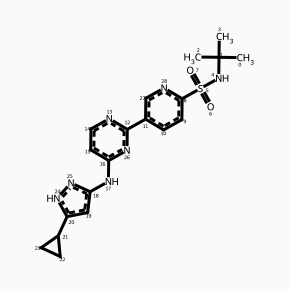 CC(C)(C)NS(=O)(=O)c1ccc(-c2nccc(Nc3cc(C4CC4)[nH]n3)n2)cn1